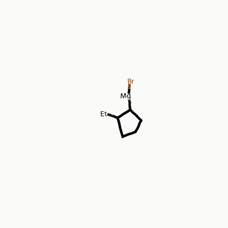 CCC1CCC[CH]1[Mg][Br]